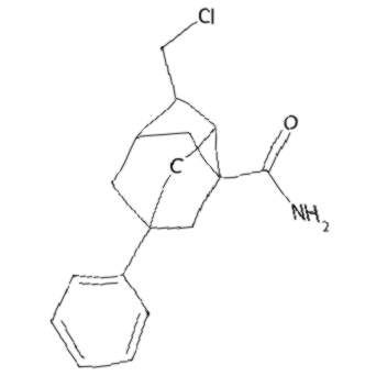 NC(=O)C12CC3CC(c4ccccc4)(CC1C3CCl)C2